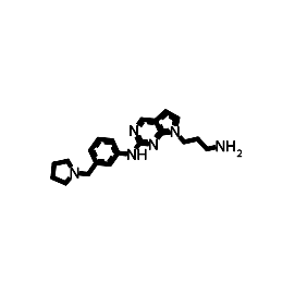 NCCCn1ccc2cnc(Nc3cccc(CN4CCCC4)c3)nc21